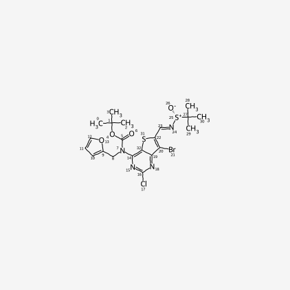 CC(C)(C)OC(=O)N(Cc1ccco1)c1nc(Cl)nc2c(Br)c(/C=N/[S@+]([O-])C(C)(C)C)sc12